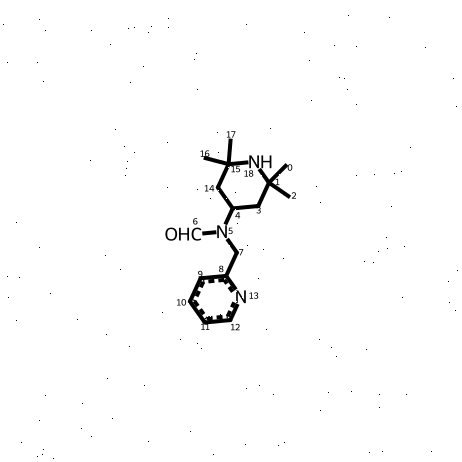 CC1(C)CC(N(C=O)Cc2ccccn2)CC(C)(C)N1